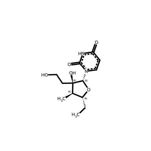 CC[C@H]1O[C@@H](n2ccc(=O)[nH]c2=O)[C@@](O)(CCO)[C@@H]1C